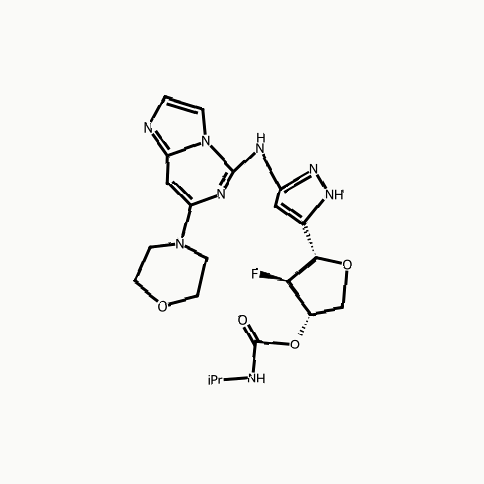 CC(C)NC(=O)O[C@H]1CO[C@@H](c2cc(Nc3nc(N4CCOCC4)cc4nccn34)n[nH]2)[C@@H]1F